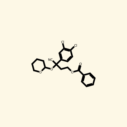 N#CC(CCOC(=O)c1ccccc1)(OC1CCCCO1)c1ccc(Cl)c(Cl)c1